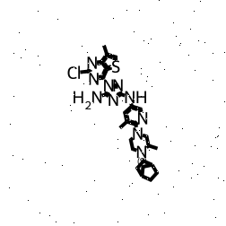 Cc1cc(Nc2nc(N)n(-c3nc(Cl)nc4c(C)csc34)n2)cnc1N1CCN([C@H]2CC3CCC2C3)C(C)C1